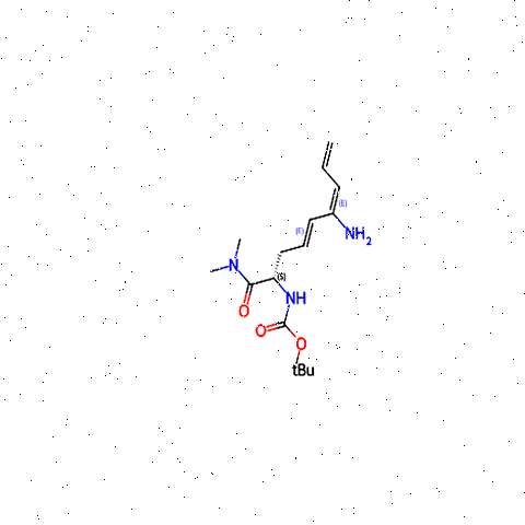 C=C/C=C(N)\C=C\C[C@H](NC(=O)OC(C)(C)C)C(=O)N(C)C